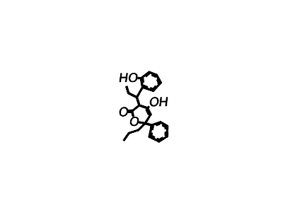 CCCC1(c2ccccc2)C=C(O)C(C(CC)c2ccccc2O)C(=O)O1